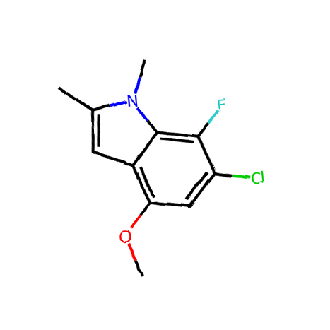 COc1cc(Cl)c(F)c2c1cc(C)n2C